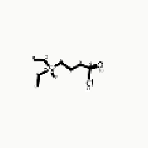 CC[Si](C)(CC)CCCC(=O)Cl